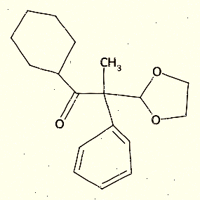 CC(C(=O)C1CCCCC1)(c1ccccc1)C1OCCO1